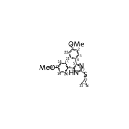 COc1ccc(-c2nc(SC3CC3)[nH]c2-c2ccc(OC)cc2)cc1